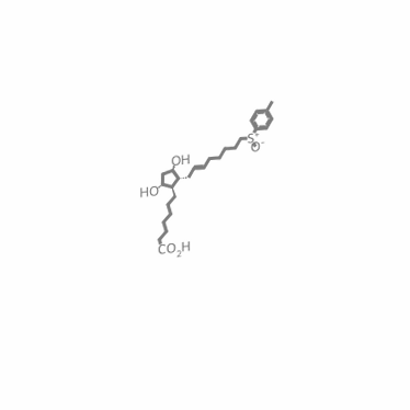 Cc1ccc([S+]([O-])CCCCC/C=C/C[C@@H]2[C@@H](CCCCCCC(=O)O)[C@H](O)C[C@H]2O)cc1